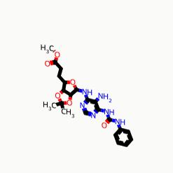 COC(=O)CCC1OC(Nc2ncnc(NC(=O)Nc3ccccc3)c2N)C2OC(C)(C)OC12